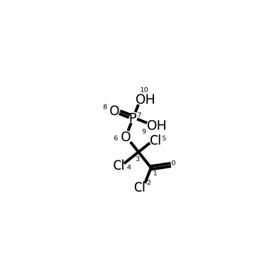 C=C(Cl)C(Cl)(Cl)OP(=O)(O)O